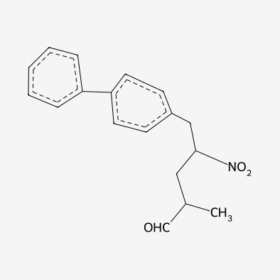 CC(C=O)CC(Cc1ccc(-c2ccccc2)cc1)[N+](=O)[O-]